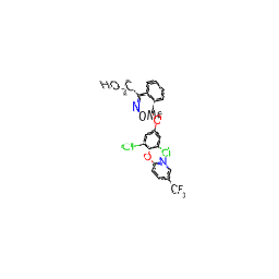 CO/N=C(/C(=O)O)c1ccccc1COc1cc(Cl)c(Oc2ccc(C(F)(F)F)cn2)c(Cl)c1